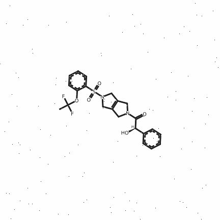 CC(F)(F)Oc1ccccc1S(=O)(=O)N1CC2=C(CN(C(=O)[C@H](O)c3ccccc3)C2)C1